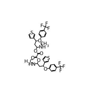 CNC(CC(Oc1ccc(C(F)(F)F)cc1)c1ccsc1)OC(=O)C(=O)OC(CC(Oc1ccc(C(F)(F)F)cc1)c1ccsc1)NC